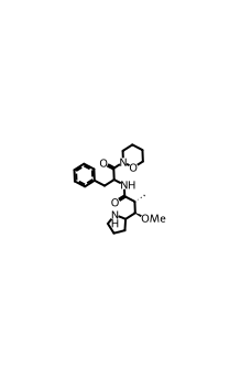 CO[C@@H](C1CCCN1)[C@@H](C)C(=O)NC(Cc1ccccc1)C(=O)N1CCCCO1